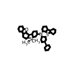 C[Si]1(C)c2cc(N(c3ccc(-c4ccccc4)cc3)c3cccc4c3sc3ccccc34)ccc2-c2c1ccc1c2oc2ccccc21